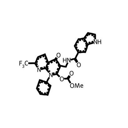 COC(=O)Oc1c(CNC(=O)c2ccc3cc[nH]c3c2)c(=O)c2ccc(C(F)(F)F)nc2n1-c1ccccc1